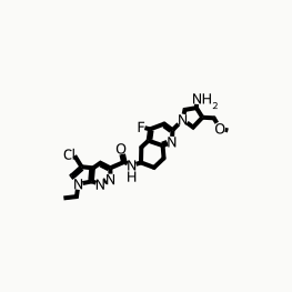 CCn1cc(Cl)c2cc(C(=O)NC3CCc4nc(N5CC(N)C(COC)C5)cc(F)c4C3)nnc21